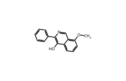 COc1cccc2c(O)c(-c3ccccc3)ncc12